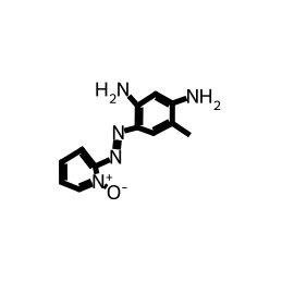 Cc1cc(N=Nc2cccc[n+]2[O-])c(N)cc1N